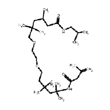 C=C(C)CC(=O)NC(C)(C)CC(C)(C)CCOCCOCC(C)(C)CC(C)CC(=O)NCC(C)C